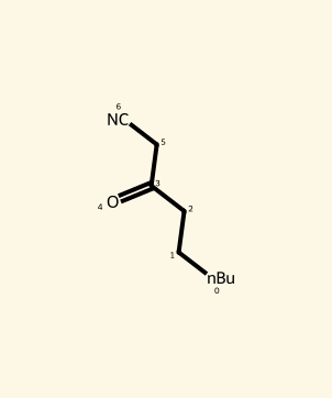 CCCCCCC(=O)CC#N